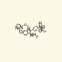 Nc1c(-c2ccc(NS(=O)(=O)C3CC3)cc2)n(CC2CC2)c2cc(Oc3ncccn3)ccc12